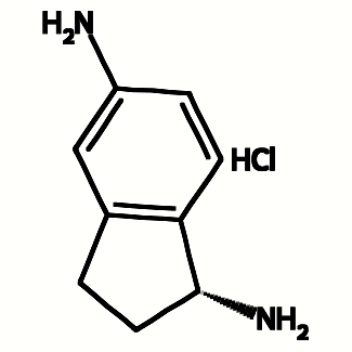 Cl.Nc1ccc2c(c1)CC[C@H]2N